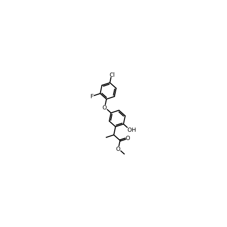 COC(=O)C(C)c1cc(Oc2ccc(Cl)cc2F)ccc1O